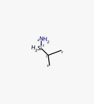 CC(C)[SiH2]N